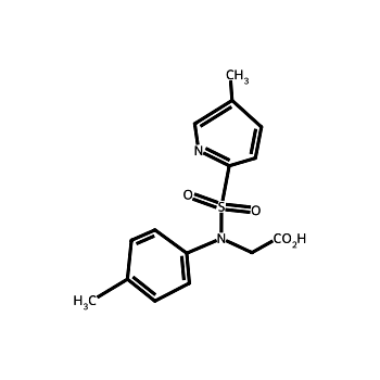 Cc1ccc(N(CC(=O)O)S(=O)(=O)c2ccc(C)cn2)cc1